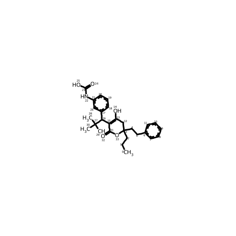 CCCC1(CCc2ccccc2)CC(O)=C(C(c2cccc(NC(=O)O)c2)C(C)(C)C)C(=O)O1